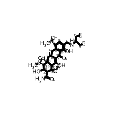 CN(C)c1cc(CNC(CF)CF)c(O)c2c1C[C@H]1C[C@H]3[C@H](N(C)C)C(O)C(C(N)=O)C(=O)[C@@]3(O)C(O)=C1C2=O